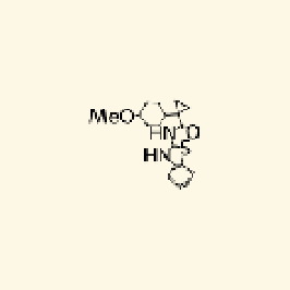 COC1CCC(C2(C(=O)NC3Nc4ccccc4S3)CC2)CC1